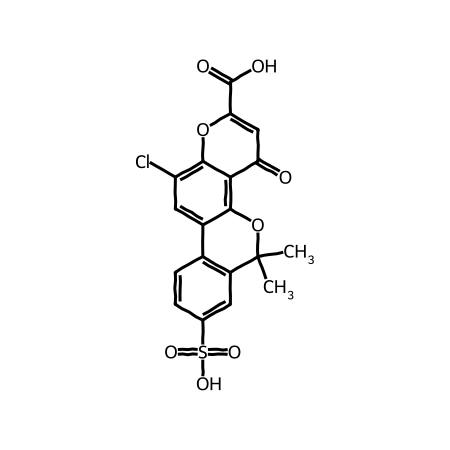 CC1(C)Oc2c(cc(Cl)c3oc(C(=O)O)cc(=O)c23)-c2ccc(S(=O)(=O)O)cc21